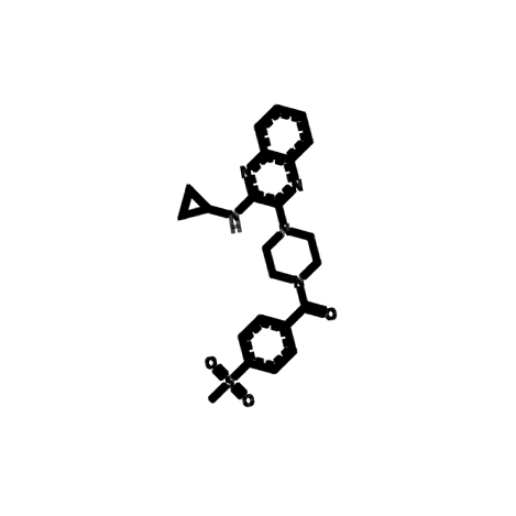 CS(=O)(=O)c1ccc(C(=O)N2CCN(c3nc4ccccc4nc3NC3CC3)CC2)cc1